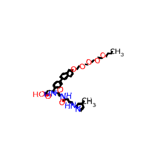 CCCCOCCOCCOCCOCCOc1ccc2cc(-c3ccc([C@H](CC(=O)O)NC(=O)CNC(=O)CCCNc4cc(C)ccn4)cc3)ccc2c1